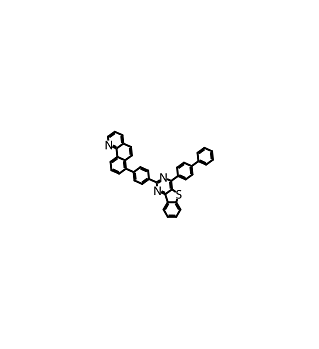 c1ccc(-c2ccc(-c3nc(-c4ccc(-c5cccc6c5ccc5cccnc56)cc4)nc4c3sc3ccccc34)cc2)cc1